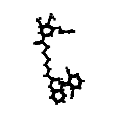 CCC(C)NCc1cc(C(=O)OCCCCOC(=O)Cc2ccccc2Nc2c(Cl)cccc2Cl)cc(Br)c1N